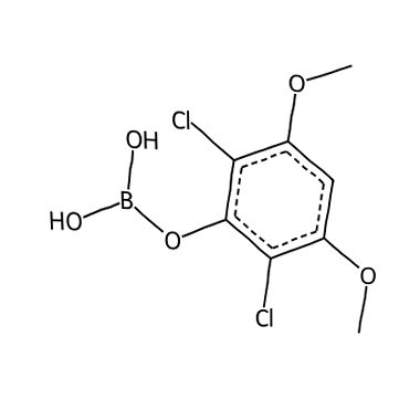 COc1cc(OC)c(Cl)c(OB(O)O)c1Cl